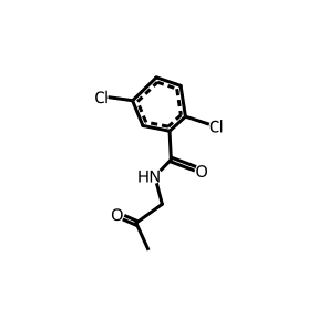 CC(=O)CNC(=O)c1cc(Cl)ccc1Cl